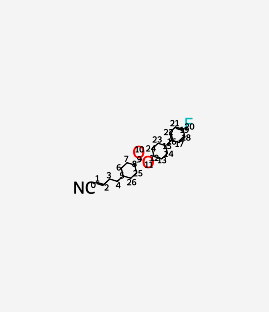 N#CC=CCC[C@H]1CC[C@H](C(=O)O[C@H]2CC[C@H](c3ccc(F)cc3)CC2)CC1